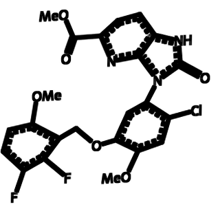 COC(=O)c1ccc2[nH]c(=O)n(-c3cc(OCc4c(OC)ccc(F)c4F)c(OC)cc3Cl)c2n1